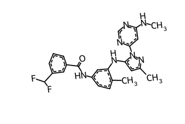 CNc1cc(-n2nc(C)cc2Nc2cc(NC(=O)c3cccc(C(F)F)c3)ccc2C)ncn1